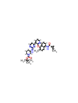 Cc1ccc2c(NC(=O)[C@@H]3C[C@H]3C)cccc2c1Oc1ncccc1-c1ccnc(N[C@H]2CCCN(C(=O)OC(C)(C)C)C2)n1